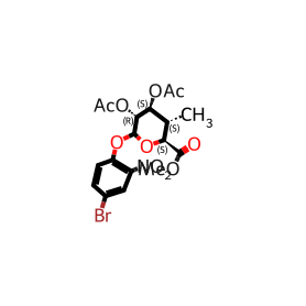 COC(=O)[C@H]1OC(Oc2ccc(Br)cc2[N+](=O)[O-])[C@H](OC(C)=O)[C@@H](OC(C)=O)[C@@H]1C